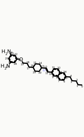 CCCCCc1ccc2cc(/C=C/C3CCC(CCCOc4cc(N)cc(N)c4)CC3)ccc2c1